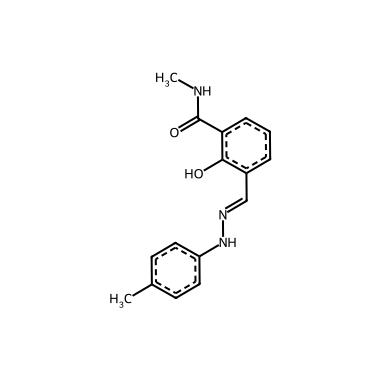 CNC(=O)c1cccc(C=NNc2ccc(C)cc2)c1O